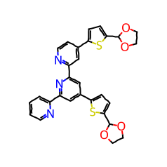 c1ccc(-c2cc(-c3ccc(C4OCCO4)s3)cc(-c3cc(-c4ccc(C5OCCO5)s4)ccn3)n2)nc1